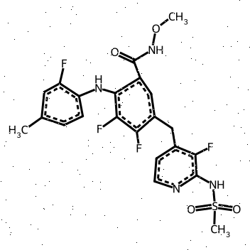 CONC(=O)c1cc(Cc2ccnc(NS(C)(=O)=O)c2F)c(F)c(F)c1Nc1ccc(C)cc1F